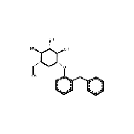 OC[C@H]1S[C@@H](Oc2ccccc2Cc2ccccc2)[C@H](O)[C@@H](O)[C@@H]1O